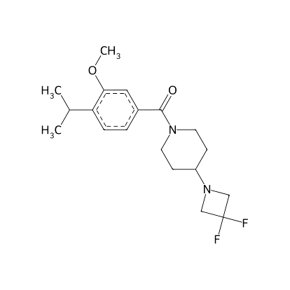 COc1cc(C(=O)N2CCC(N3CC(F)(F)C3)CC2)ccc1C(C)C